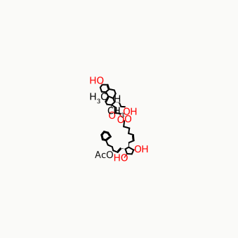 CC(=O)O[C@H](/C=C/[C@@H]1[C@@H](C/C=C\CCCC(=O)OCC(=O)C[C@@]2(C)CC=C3[C@@H](CCC4=CC(O)CC[C@@]43C)[C@@H]2CCCO)[C@@H](O)C[C@H]1O)CCc1ccccc1